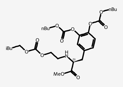 CCCCOC(=O)Oc1ccc(C[C@H](NCCOC(=O)OCC(C)CC)C(=O)OC)cc1OC(=O)OCCCC